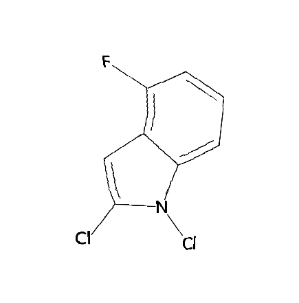 Fc1cccc2c1cc(Cl)n2Cl